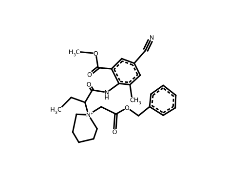 CCC(C(=O)Nc1c(C)cc(C#N)cc1C(=O)OC)[N+]1(CC(=O)OCc2ccccc2)CCCCC1